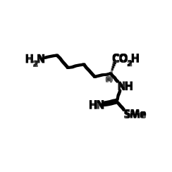 CSC(=N)N[C@H](CCCCN)C(=O)O